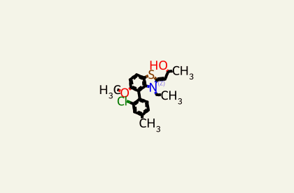 CCN1/C(=C/C(C)O)Sc2ccc(OC)c(-c3ccc(C)cc3Cl)c21